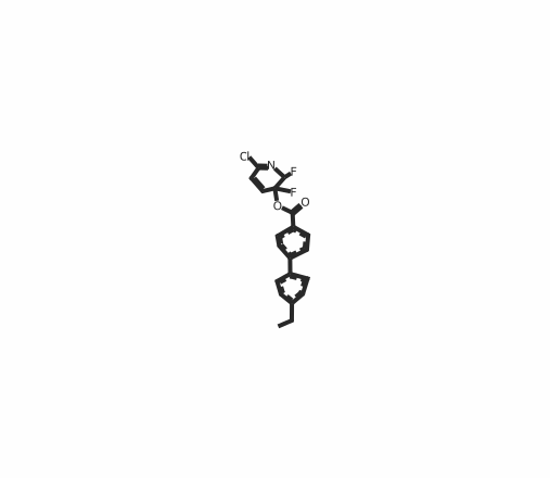 CCc1ccc(-c2ccc(C(=O)OC3(F)C=CC(Cl)=NC3F)cc2)cc1